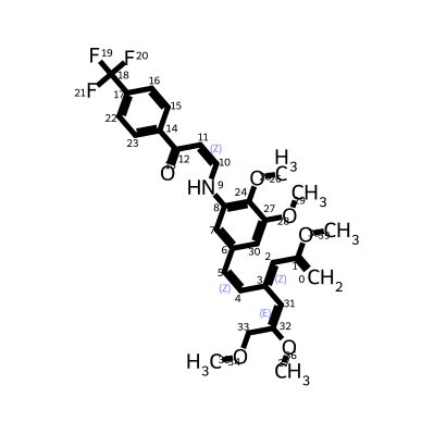 C=C(/C=C(/C=C\c1cc(N/C=C\C(=O)c2ccc(C(F)(F)F)cc2)c(OC)c(OC)c1)\C=C(/COC)OC)OC